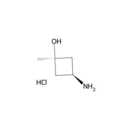 C[C@]1(O)C[C@@H](N)C1.Cl